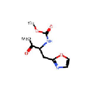 COC(=O)C(Cc1ncco1)NC(=O)OC(C)(C)C